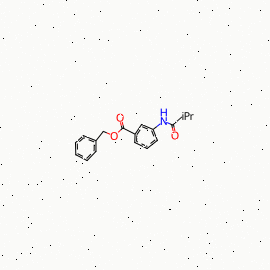 CC(C)C(=O)Nc1cccc(C(=O)OCc2ccccc2)c1